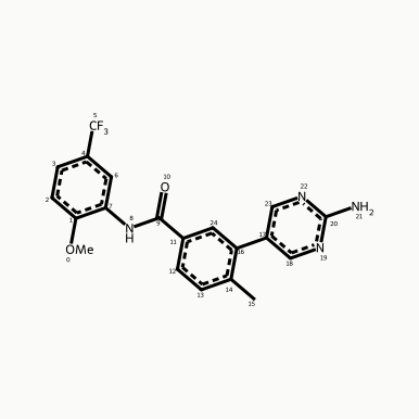 COc1ccc(C(F)(F)F)cc1NC(=O)c1ccc(C)c(-c2cnc(N)nc2)c1